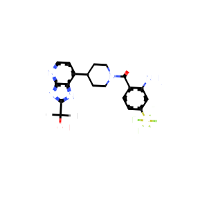 CC(C)(O)c1nc2c(C3CCN(C(=O)c4ccc(S(F)(F)(F)(F)F)cc4N)CC3)ccnc2[nH]1